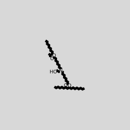 CCCCCCCCC(CCCCCCCC)OC(=O)CCCCCCCN(CCO)CCCCCCCC(=O)OC(CCCCCCCC)C(C)C